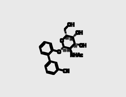 CC(=O)N[C@H]1[C@H](Oc2ccccc2-c2cccc(C#N)c2)O[C@H](CO)[C@H](O)[C@@H]1O